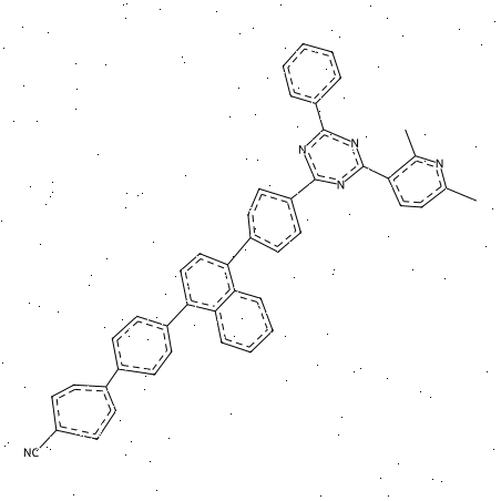 Cc1ccc(-c2nc(-c3ccccc3)nc(-c3ccc(-c4ccc(-c5ccc(-c6ccc(C#N)cc6)cc5)c5ccccc45)cc3)n2)c(C)n1